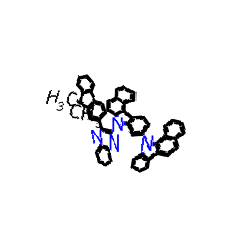 CC1(C)c2ccccc2-c2ccc(-c3nc4ccccc4nc3-n3c4cc(-n5c6ccccc6c6ccc7ccccc7c65)ccc4c4c5ccccc5ccc43)cc21